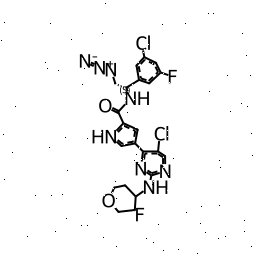 [N-]=[N+]=NC[C@@H](NC(=O)c1cc(-c2nc(NC3CCOCC3F)ncc2Cl)c[nH]1)c1cc(F)cc(Cl)c1